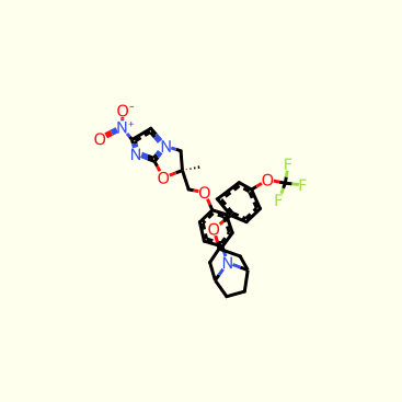 C[C@@]1(COc2ccc(N3C4CCC3CC(Oc3ccc(OC(F)(F)F)cc3)C4)cc2)Cn2cc([N+](=O)[O-])nc2O1